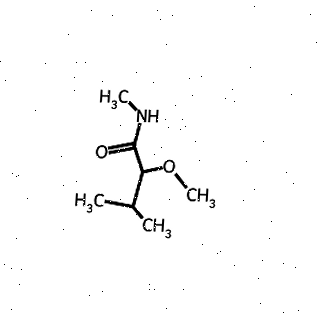 CNC(=O)C(OC)C(C)C